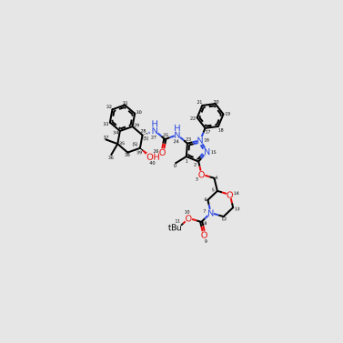 Cc1c(OCC2CN(C(=O)OC(C)(C)C)CCO2)nn(-c2ccccc2)c1NC(=O)N[C@H]1c2ccccc2C(C)(C)C[C@@H]1O